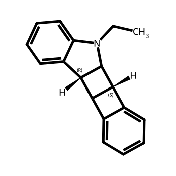 CCN1c2ccccc2[C@H]2C3c4ccccc4[C@H]3C21